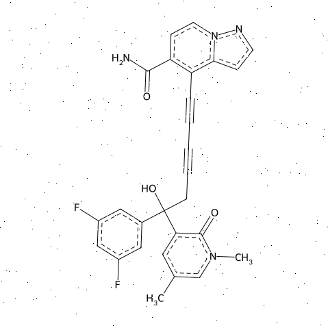 Cc1cc(C(O)(CC#CC#Cc2c(C(N)=O)ccn3nccc23)c2cc(F)cc(F)c2)c(=O)n(C)c1